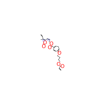 C=CC(=O)OCCCCOC1=CCC=C(C(=O)OC/C=C\C(OC=O)=C(\C)C=C)C=C1